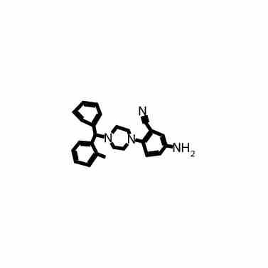 Cc1ccccc1C(c1ccccc1)N1CCN(c2ccc(N)cc2C#N)CC1